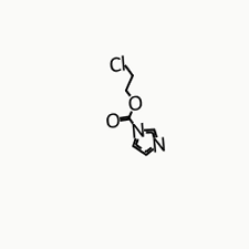 O=C(OCCCl)n1ccnc1